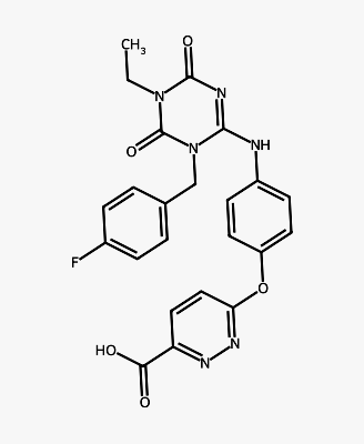 CCn1c(=O)nc(Nc2ccc(Oc3ccc(C(=O)O)nn3)cc2)n(Cc2ccc(F)cc2)c1=O